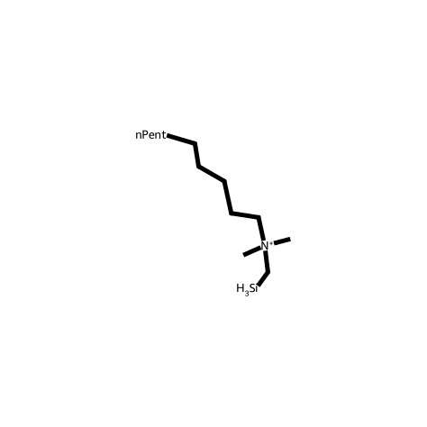 CCCCCCCCCC[N+](C)(C)C[SiH3]